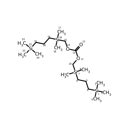 C[Si](C)(C)CCC[Si](C)(C)COC(=O)OC[Si](C)(C)CCC[Si](C)(C)C